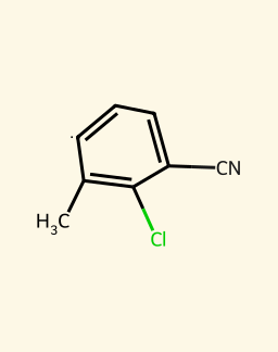 Cc1[c]ccc(C#N)c1Cl